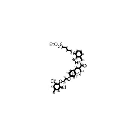 CCOC(=O)CCCCOc1cccc(CNC(=O)C(CN)Cc2ccc(OCCOc3c(Cl)cc(C)cc3Cl)cc2)c1Br